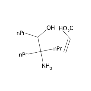 C=CC(=O)O.CCCC(O)C(N)(CCC)CCC